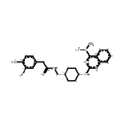 CN(C)c1nc(N[C@H]2CC[C@@H](CNC(=O)Cc3ccc(O)c(F)c3)CC2)nc2ccccc12